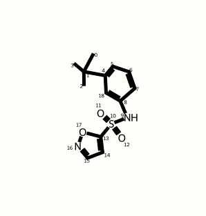 CC(C)(C)c1cccc(NS(=O)(=O)c2ccno2)c1